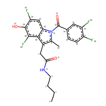 CCCCNC(=O)Cc1c(C)n(C(=O)c2ccc(F)c(F)c2)c2cc(F)c(O)c(F)c12